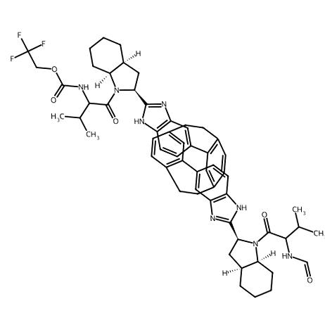 CC(C)C(NC=O)C(=O)N1[C@H](c2nc3cc(-c4cc5ccc4CCc4ccc(c(-c6ccc7[nH]c([C@@H]8C[C@@H]9CCCC[C@@H]9N8C(=O)C(NC(=O)OCC(F)(F)F)C(C)C)nc7c6)c4)CC5)ccc3[nH]2)C[C@@H]2CCCC[C@@H]21